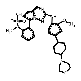 COc1cc(C2CCC(N3CCOCC3)CC2)ccc1Nc1ncc2ccc(-c3ccccc3N(C)S(C)(=O)=O)n2n1